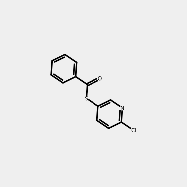 O=C(Sc1ccc(Cl)nc1)c1ccccc1